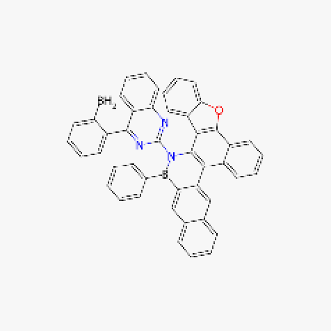 Bc1ccccc1-c1nc(N2B(c3ccccc3)c3cc4ccccc4cc3-c3c2c2c4ccccc4oc2c2ccccc32)nc2ccccc12